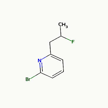 CC(F)Cc1cccc(Br)n1